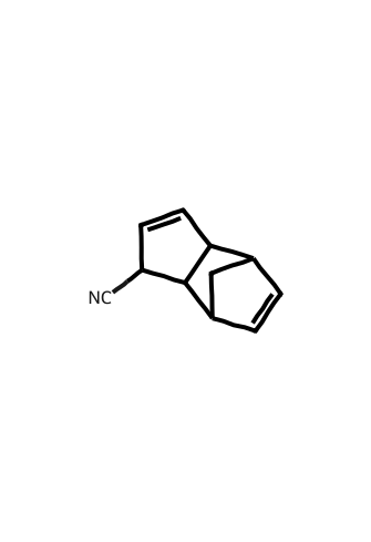 N#CC1C=CC2C3C=CC(C3)C12